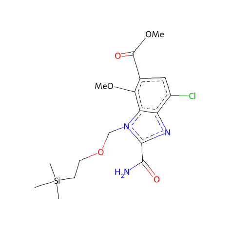 COC(=O)c1cc(Cl)c2nc(C(N)=O)n(COCC[Si](C)(C)C)c2c1OC